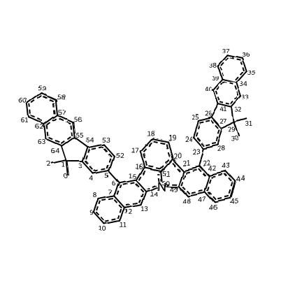 CC1(C)c2cc(-c3c4ccccc4cc4c3c3cccc5c6c(-c7ccc8c(c7)C(C)(C)c7cc9ccccc9cc7-8)c7ccccc7cc6n4c35)ccc2-c2cc3ccccc3cc21